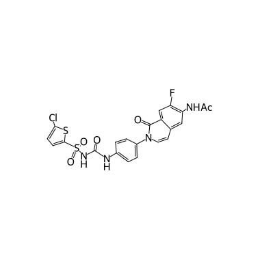 CC(=O)Nc1cc2ccn(-c3ccc(NC(=O)NS(=O)(=O)c4ccc(Cl)s4)cc3)c(=O)c2cc1F